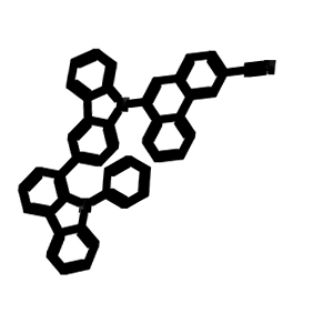 N#Cc1ccc2cc(-n3c4ccccc4c4cc(-c5cccc6c7ccccc7n(-c7ccccc7)c56)ccc43)c3ccccc3c2c1